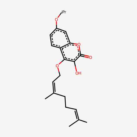 CC(C)=CCCC(C)=CCOc1c(O)c(=O)oc2cc(OC(C)C)ccc12